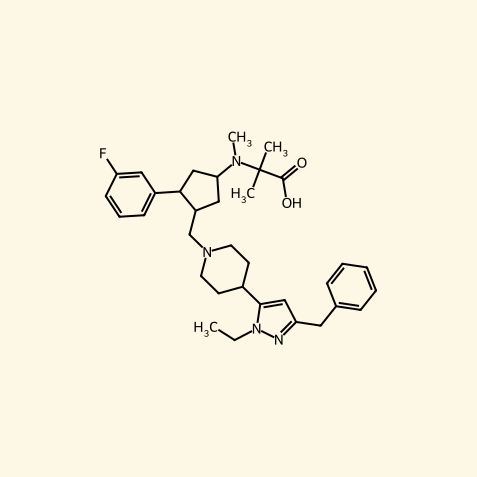 CCn1nc(Cc2ccccc2)cc1C1CCN(CC2CC(N(C)C(C)(C)C(=O)O)CC2c2cccc(F)c2)CC1